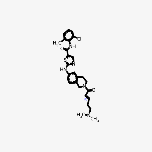 Cc1cccc(Cl)c1NC(=O)c1cnc(Nc2ccc3c(c2)CCN(C(=O)/C=C/CCN(C)C)C3)s1